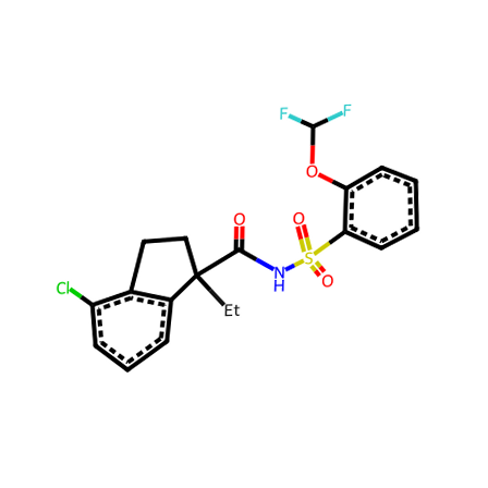 CCC1(C(=O)NS(=O)(=O)c2ccccc2OC(F)F)CCc2c(Cl)cccc21